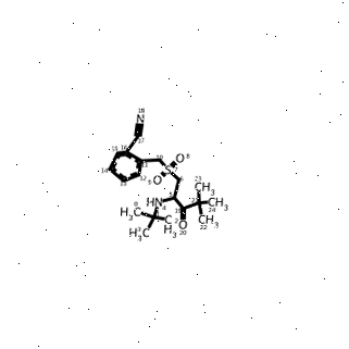 CC(C)(C)NC(CS(=O)(=O)Cc1ccccc1C#N)C(=O)C(C)(C)C